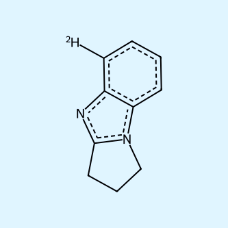 [2H]c1cccc2c1nc1n2CCC1